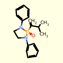 C=C(C(C)C)P1(=O)N(c2ccccc2)CCN1c1ccccc1